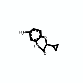 Nc1ccc2c(c1)NC(=O)C(C1CC1)O2